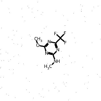 CNc1nc(OC)nc(C(F)(F)F)n1